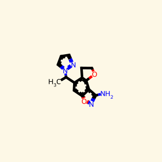 CC(c1cc2onc(N)c2c2c1CCO2)n1cccn1